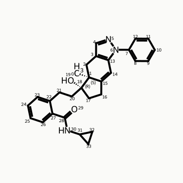 C[C@]12Cc3cnn(-c4ccccc4)c3C=C1CC[C@@]2(O)CCc1ccccc1C(=O)NC1CC1